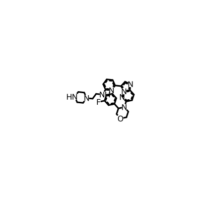 Fc1cccc(C2COCCN2c2ccc3ncc(-c4cccc(NCCN5CCNCC5)n4)n3n2)c1